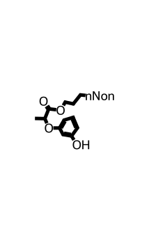 CCCCCCCCCCCCOC(=O)C(C)Oc1cccc(O)c1